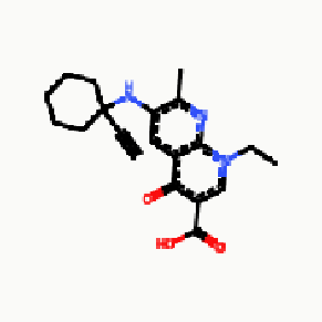 C#CC1(Nc2cc3c(=O)c(C(=O)O)cn(CC)c3nc2C)CCCCC1